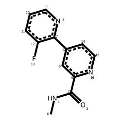 CNC(=O)c1cc(-c2ncccc2F)ccn1